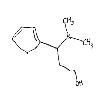 CN(C)C(CCO)c1cccs1